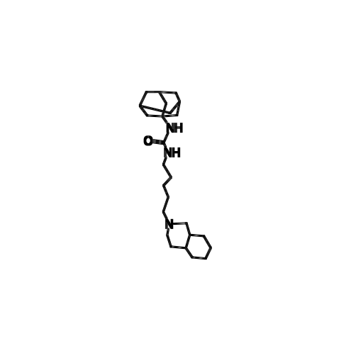 O=C(NCCCCCN1CCC2CCCCC2C1)NC12CC3CC(CC(C3)C1)C2